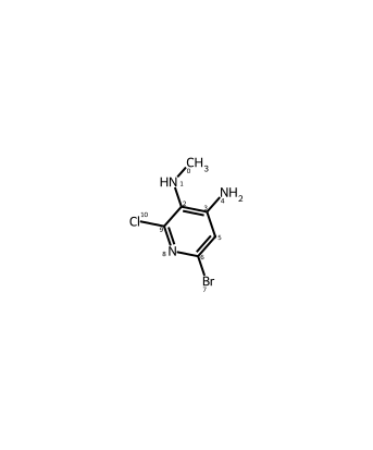 CNc1c(N)cc(Br)nc1Cl